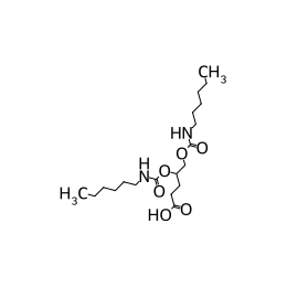 CCCCCCNC(=O)OCC(CCC(=O)O)OC(=O)NCCCCCC